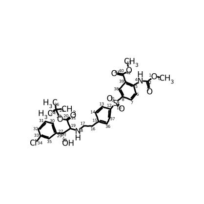 COC(=O)Nc1ccc(S(=O)(=O)c2ccc(CCNC(C(=O)OC(C)(C)C)[C@H](O)c3cccc(Cl)c3)cc2)cc1C(=O)OC